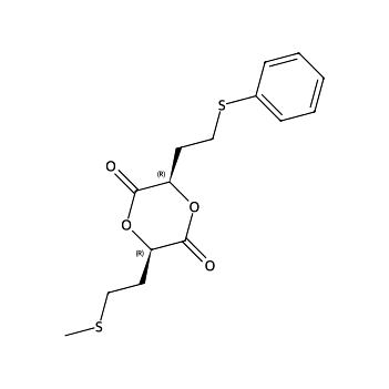 CSCC[C@H]1OC(=O)[C@@H](CCSc2ccccc2)OC1=O